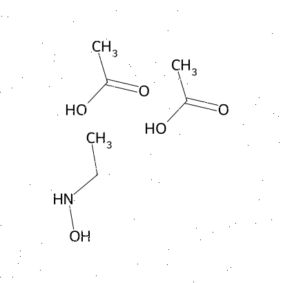 CC(=O)O.CC(=O)O.CCNO